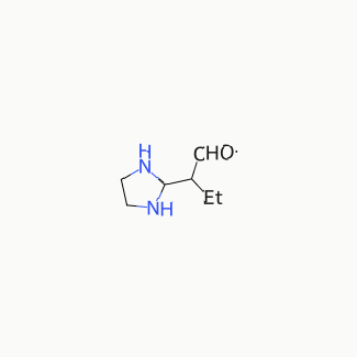 CCC([C]=O)C1NCCN1